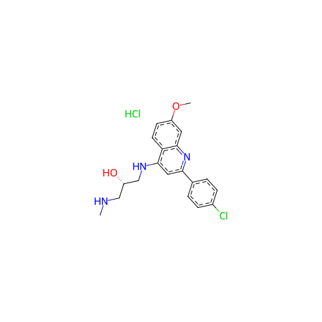 CNC[C@H](O)CNc1cc(-c2ccc(Cl)cc2)nc2cc(OC)ccc12.Cl